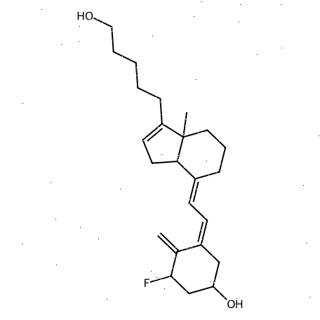 C=C1/C(=C\C=C2/CCCC3(C)C(CCCCCO)=CCC23)CC(O)CC1F